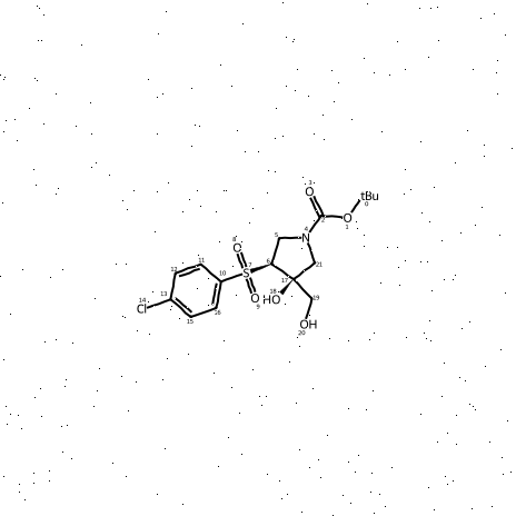 CC(C)(C)OC(=O)N1C[C@H](S(=O)(=O)c2ccc(Cl)cc2)[C@@](O)(CO)C1